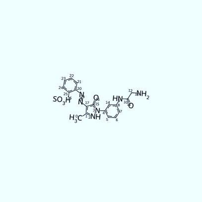 Cc1[nH]n(-c2cccc(NC(=O)CN)c2)c(=O)c1N=Nc1ccccc1S(=O)(=O)O